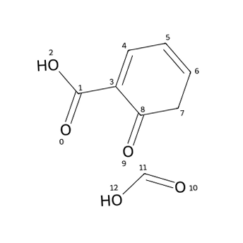 O=C(O)C1=CC=CCC1=O.O=CO